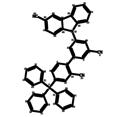 N#Cc1cc(-c2ccc([Si](c3ccccc3)(c3ccccc3)c3ccccc3)cc2C#N)cc(-n2c3ccccc3c3cc(C#N)ccc32)c1